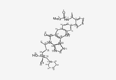 C=C(NC(=O)OC)c1ccccc1-c1ccc(Cc2c(CCC)n3ncnc3n(C(C)CC[C@](O)(CC)CN3CCOCC3)c2=O)cc1